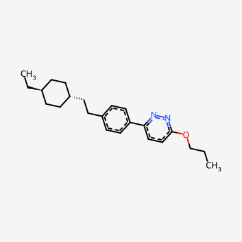 CCCOc1ccc(-c2ccc(CC[C@H]3CC[C@H](CC)CC3)cc2)nn1